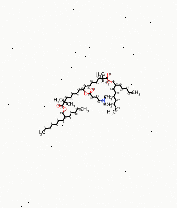 CCCCCCCC(CCCCC)COC(=O)C(C)(C)CCCCCC(CCCCCC(C)(C)C(=O)OCC(CCCCC)CCCCCCC)OC(=O)CCCN(C)C